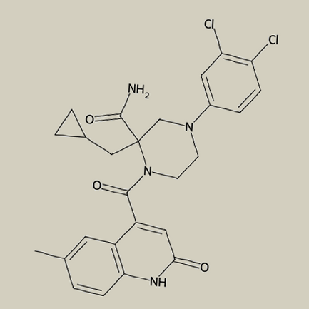 Cc1ccc2[nH]c(=O)cc(C(=O)N3CCN(c4ccc(Cl)c(Cl)c4)CC3(CC3CC3)C(N)=O)c2c1